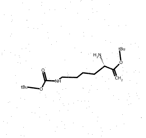 C=C(OC(C)(C)C)[C@@H](N)CCCCNC(=O)OC(C)(C)C